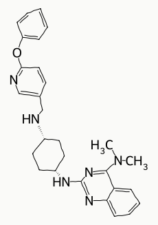 CN(C)c1nc(N[C@H]2CC[C@@H](NCc3ccc(Oc4ccccc4)nc3)CC2)nc2ccccc12